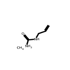 C.C=CCNC(N)=O